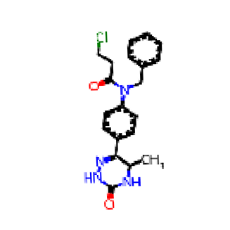 CC1NC(=O)NN=C1c1ccc(N(Cc2ccccc2)C(=O)CCCl)cc1